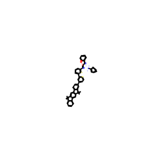 CC1(C)c2ccccc2-c2cc3c(cc21)-c1ccc(-c2ccc4sc5c(-c6nc(-c7ccccc7)nc7c6oc6ccccc67)cccc5c4c2)cc1C3(C)C